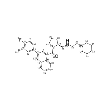 O=C(c1cc(-c2ccc(F)c(F)c2)nc2ccccc12)N1CCC[C@H]1CNCCN1CCCCC1